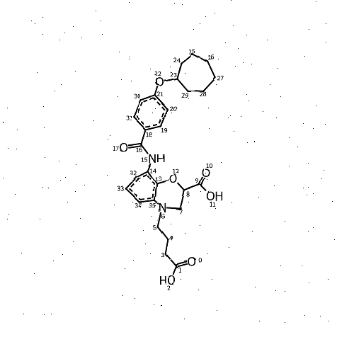 O=C(O)CCCN1CC(C(=O)O)Oc2c(NC(=O)c3ccc(OC4CCCCCC4)cc3)cccc21